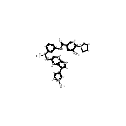 Cc1cc(C(=O)Nc2cccc([C@H](C)Nc3cnc4[nH]cc(-c5cnn(C)c5)c4n3)c2)cnc1N1CCCC1